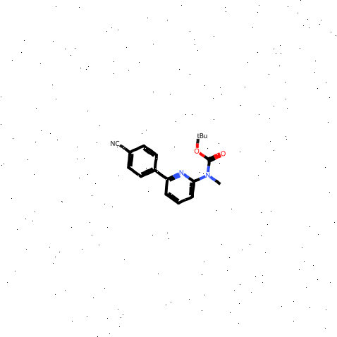 CN(C(=O)OC(C)(C)C)c1cccc(-c2ccc(C#N)cc2)n1